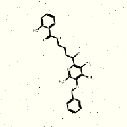 Cc1nc(C(Cl)CCCNC(=O)c2ccccc2O)c(C)c(C)c1OCc1ccccc1